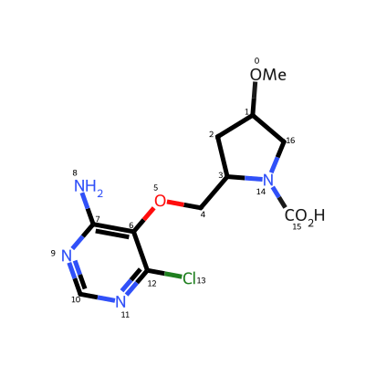 COC1CC(COc2c(N)ncnc2Cl)N(C(=O)O)C1